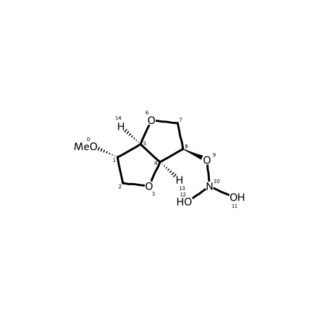 CO[C@H]1CO[C@H]2[C@@H]1OC[C@H]2ON(O)O